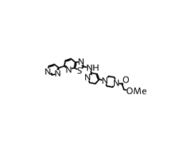 COCC(=O)N1CCN(C2=CC(Nc3nc4ccc(-c5ccncn5)nc4s3)=NCC2)CC1